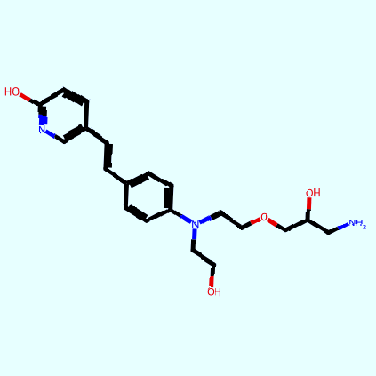 NCC(O)COCCN(CCO)c1ccc(/C=C/c2ccc(O)nc2)cc1